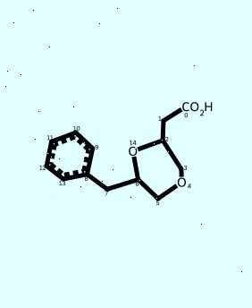 O=C(O)CC1COCC(Cc2ccccc2)O1